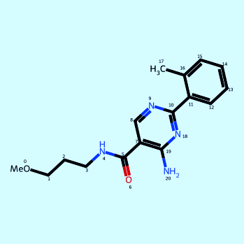 COCCCNC(=O)c1cnc(-c2ccccc2C)nc1N